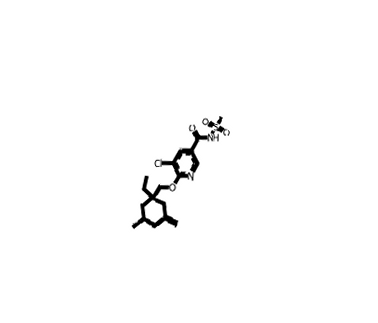 C=C1CC(C)CC(CC)(COc2ncc(C(=O)NS(C)(=O)=O)cc2Cl)C1